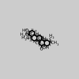 CC1(C)CC[C@]2(O)C(=O)C[C@]3(C)C(=CC[C@@H]4[C@@]5(C)CC[C@H](O)C(C)(C)[C@@H]5CC[C@]43C)[C@@H]2C1